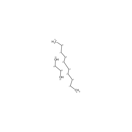 CCCCCCCCCC.OCCO